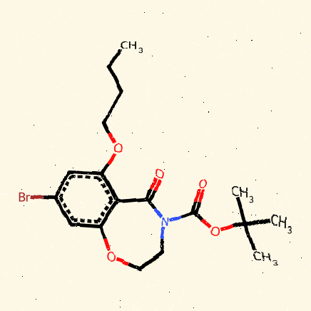 CCCCOc1cc(Br)cc2c1C(=O)N(C(=O)OC(C)(C)C)CCO2